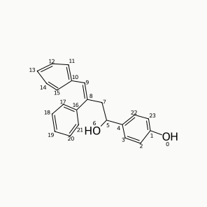 Oc1ccc(C(O)CC(=Cc2ccccc2)c2ccccc2)cc1